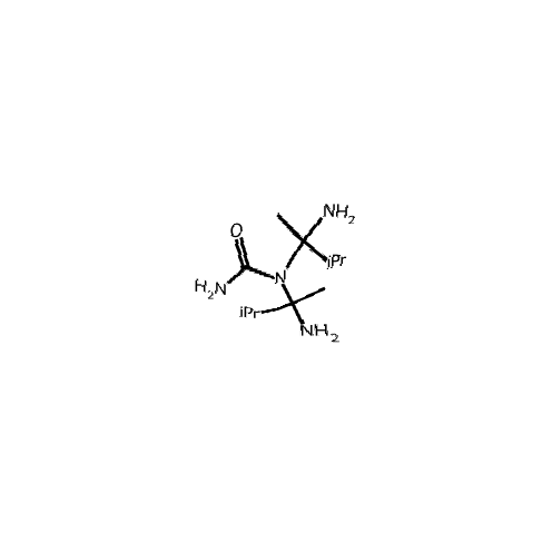 CC(C)C(C)(N)N(C(N)=O)C(C)(N)C(C)C